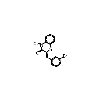 CCN1C(=O)/C(=C/c2cccc(Br)c2)Sc2ccccc21